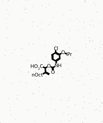 C=C(CCCCCCCC)C(OC(=O)Nc1ccc(Cl)c(OC(C)C)c1)C(=O)O